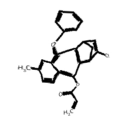 C=CC(=O)Oc1c2c(c(Oc3ccccc3)c3cc(C)ccc13)C1C=C(Cl)C2C1